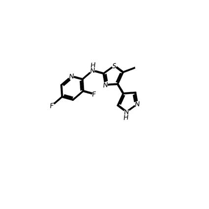 Cc1sc(Nc2ncc(F)cc2F)nc1-c1cn[nH]c1